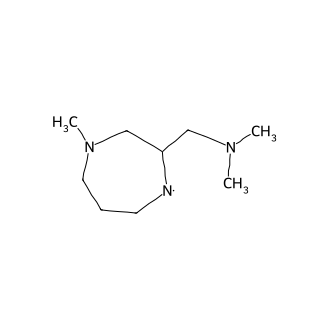 CN(C)CC1CN(C)CCC[N]1